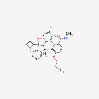 CCCOc1ccc(C(=O)NC)c(-c2c(Cl)c(F)cc3c2[C@H](C)C(c2ccccc2)(C2CCN2)O3)c1F